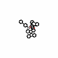 C1=C(N(c2ccc(-c3ccccc3)cc2)c2ccc3c(c2)-c2c4cccc2-c2cccc-3c2-c2ccccc2-4)C2=C(CC1)C1(c3ccccc32)c2ccccc2-c2ccccc21